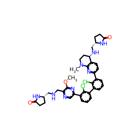 COc1nc(-c2cccc(-c3cccc(-c4ccc5c(n4)N(C)CC[C@@H]5NC[C@@H]4CCC(=O)N4)c3Cl)c2Cl)cnc1CNC[C@@H]1CCC(=O)N1